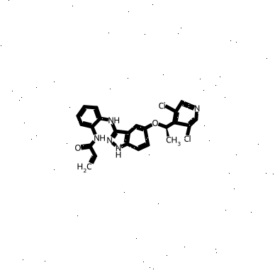 C=CC(=O)Nc1ccccc1Nc1n[nH]c2ccc(O[C@H](C)c3c(Cl)cncc3Cl)cc12